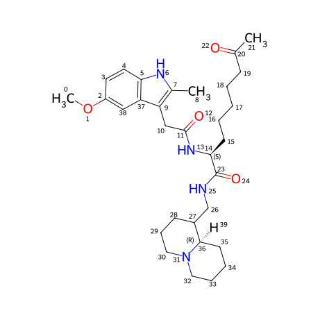 COc1ccc2[nH]c(C)c(CC(=O)N[C@@H](CCCCCC(C)=O)C(=O)NCC3CCCN4CCCC[C@H]34)c2c1